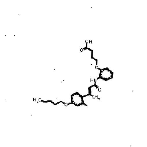 CCCCCOc1ccc(C(C)=CC(=O)Nc2ccccc2OCCCC(=O)O)c(F)c1